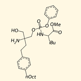 CCCCCCCCc1ccc(CCC(N)(CO)COP(=O)(NC(C(=O)OC)C(C)CC)Oc2ccccc2)cc1